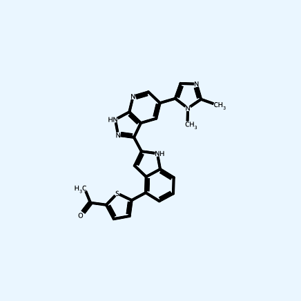 CC(=O)c1ccc(-c2cccc3[nH]c(-c4n[nH]c5ncc(-c6cnc(C)n6C)cc45)cc23)s1